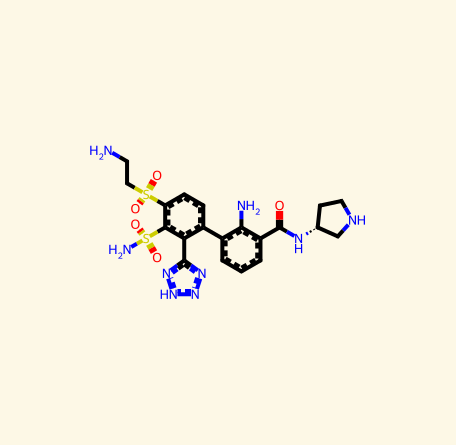 NCCS(=O)(=O)c1ccc(-c2cccc(C(=O)N[C@@H]3CCNC3)c2N)c(-c2nn[nH]n2)c1S(N)(=O)=O